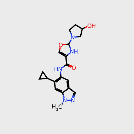 Cn1ncc2cc(NC(=O)C3=COC(N4CCC(O)C4)N3)c(C3CC3)cc21